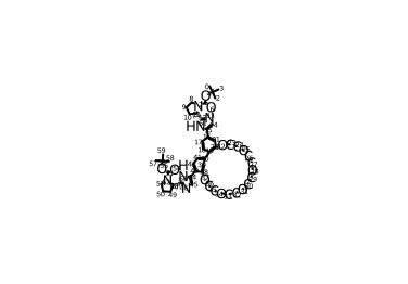 CC(C)(C)OC(=O)N1CCC[C@H]1c1ncc(-c2ccc3c(c2)OCCOCCOCCOCCOCCOc2cc-3ccc2-c2cnc([C@@H]3CCCN3C(=O)OC(C)(C)C)[nH]2)[nH]1